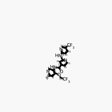 O=C(Nc1cnc(F)cc1OCC(F)(F)F)c1ccnc(Nc2ccc(C(F)(F)F)cn2)c1